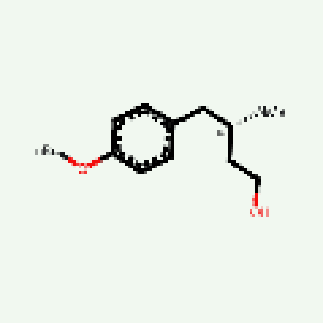 CCCCOc1ccc(C[C@@H](CCO)NC)cc1